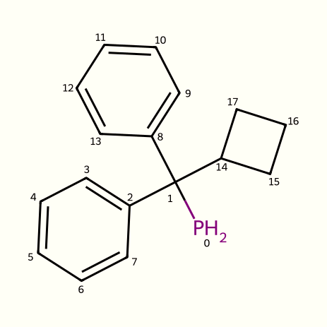 PC(c1ccccc1)(c1ccccc1)C1CCC1